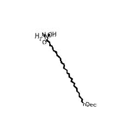 CCCCCCCCCCCCCCCCCCCCCCCCCCCCCCCCCCC(=O)N(N)O